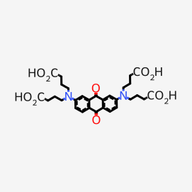 O=C(O)CCCN(CCCC(=O)O)c1ccc2c(c1)C(=O)c1cc(N(CCCC(=O)O)CCCC(=O)O)ccc1C2=O